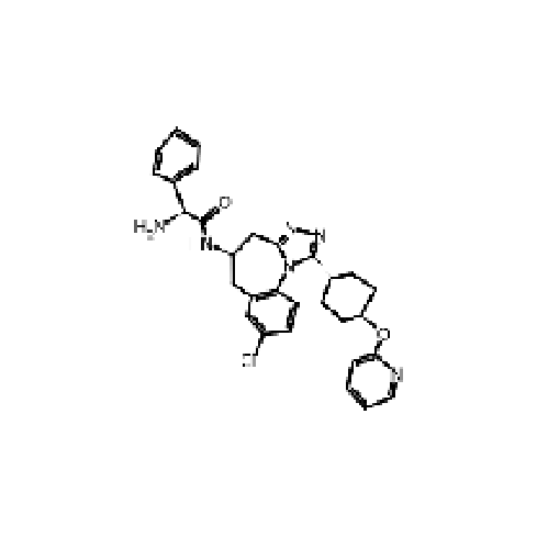 N[C@H](C(=O)N[C@@H]1Cc2cc(Cl)ccc2-n2c(nnc2[C@H]2CC[C@H](Oc3ccccn3)CC2)C1)c1ccccc1